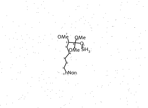 CCCCCCCCCCCCCCC(OC)C(OC)(OC)O[SiH3]